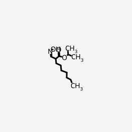 CCCCCCCC(/C=N\O)C(=O)OC(C)C